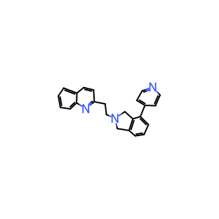 c1cc2c(c(-c3ccncc3)c1)CN(CCc1ccc3ccccc3n1)C2